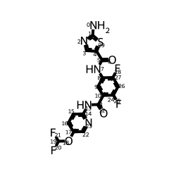 Nc1ncc(C(=O)Nc2cc(C(=O)Nc3ccc(OC(F)F)cn3)c(F)cc2F)s1